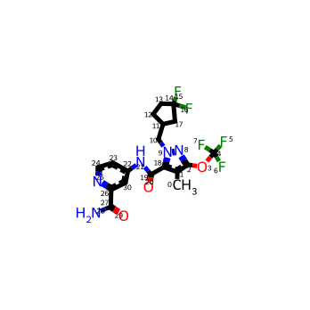 Cc1c(OC(F)(F)F)nn(CC2CCC(F)(F)C2)c1C(=O)Nc1ccnc(C(N)=O)c1